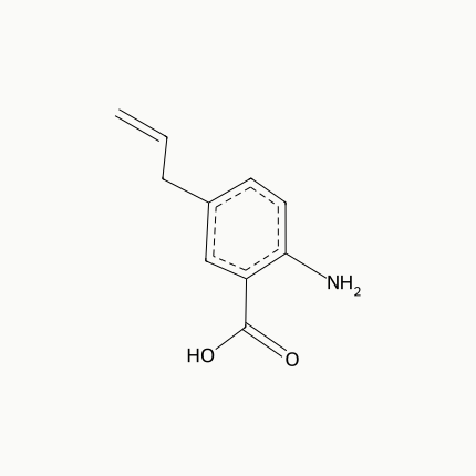 C=CCc1ccc(N)c(C(=O)O)c1